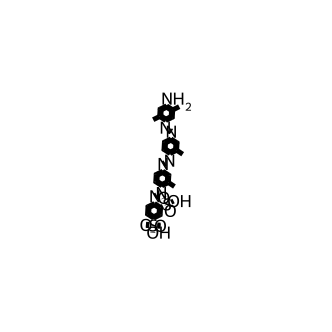 Cc1cc(N=Nc2ccc(N=Nc3ccc(N=Nc4ccc(S(=O)(=O)O)cc4S(=O)(=O)O)c(C)c3)c(C)c2)c(C)cc1N